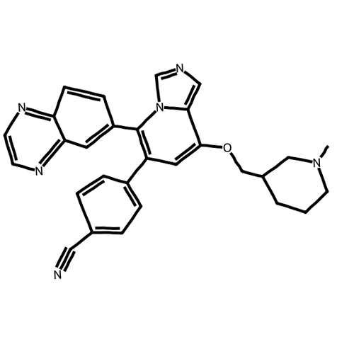 CN1CCCC(COc2cc(-c3ccc(C#N)cc3)c(-c3ccc4nccnc4c3)n3cncc23)C1